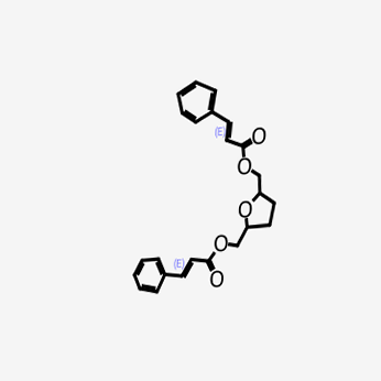 O=C(/C=C/c1ccccc1)OCC1CCC(COC(=O)/C=C/c2ccccc2)O1